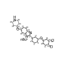 CCCCn1c(-c2cccc(Oc3ccc(Cl)c(Cl)c3)c2)nc2ccc(OC3CCNCC3)cc21